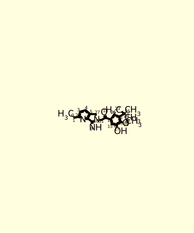 CCc1ccc2c(n1)C(=N)N(CC(=O)c1cc(O)c(OC)c(C(C)(C)C)c1)C2